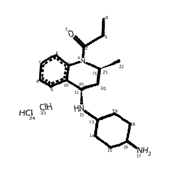 CCC(=O)N1c2ccccc2[C@H](NC2CCC(N)CC2)C[C@@H]1C.Cl.Cl